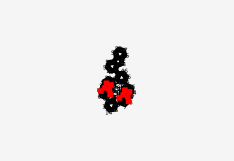 c1ccc([Si](c2ccccc2)(c2ccccc2)[Si](c2ccccc2)(c2ccccc2)[Si](c2ccccc2)(c2ccccc2)c2cccc(-c3cccc4c3Cc3ccccc3-4)c2)cc1